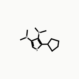 CP(C)c1csc(C2CCCC2)c1P(C)C